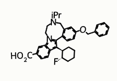 CC(C)N1CCn2c(c([C@H]3CCCC[C@@H]3F)c3ccc(C(=O)O)cc32)-c2ccc(OCc3ccccc3)cc2C1